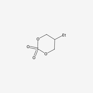 CCC1COS(=O)(=O)OC1